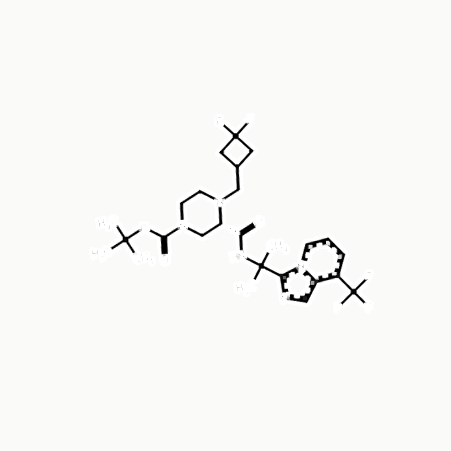 CC(C)(C)OC(=O)N1CCN(CC2CC(F)(F)C2)[C@H](C(=O)NC(C)(C)c2ncc3c(C(F)(F)F)cccn23)C1